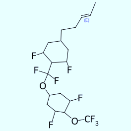 C/C=C/CCC1CC(F)C(C(F)(F)OC2CC(F)C(OC(F)(F)F)C(F)C2)C(F)C1